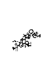 CCCC[C@H](NC(=O)[C@@H]1[C@@H]2[C@H](CN1C(=O)[C@@H](NC(=O)NC1([C@H]3CCN(C4CC4)S3(=O)=O)CCCCC1)C(C)(C)C)C2(C)C)C(=O)C(=O)NC1CC1